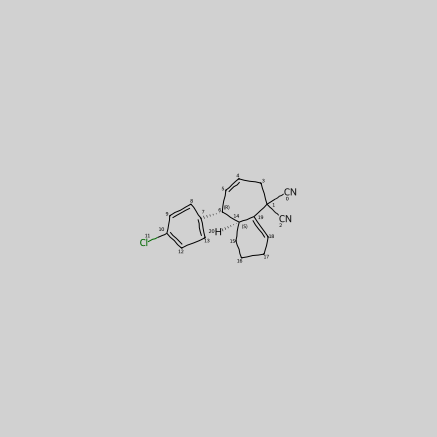 N#CC1(C#N)CC=C[C@@H](c2ccc(Cl)cc2)[C@@H]2CCCC=C21